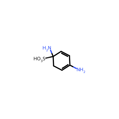 NC1=CCC(N)(S(=O)(=O)O)C=C1